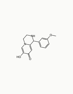 COc1cccc(C2NCCn3cc(O)c(=O)cc32)c1